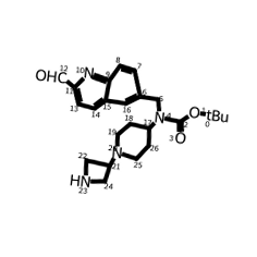 CC(C)(C)OC(=O)N(Cc1ccc2nc(C=O)ccc2c1)C1CCN(C2CNC2)CC1